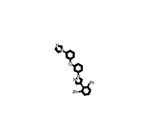 CC(C)c1cccc(C(C)C)c1-c1cnn(-c2cccc(Oc3cccc(-n4ccnc4)c3)c2)c1